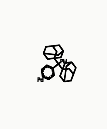 PC(c1ccccc1)(C12CC3CC(CC(C3)C1)C2)C12CC3CC(CC(C3)C1)C2.[Pd]